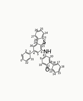 c1ccc(-c2cc(Nc3ccc4oc5ccccc5c4c3)c3sc4ccccc4c3c2)cc1